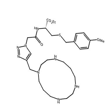 CCOC(=O)[C@H](CSCc1ccc(OC)cc1)NC(=O)Cn1cc(CN2CCCNCCNCCCNCC2)nn1